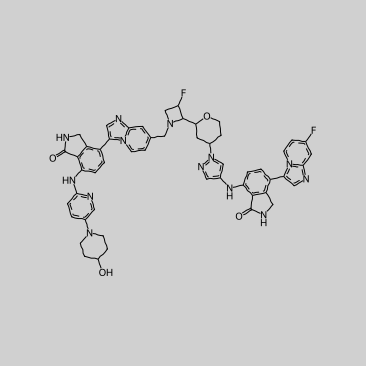 O=C1NCc2c(-c3cnc4cc(F)ccn34)ccc(Nc3cnn(C4CCOC(C5C(F)CN5Cc5ccn6c(-c7ccc(Nc8ccc(N9CCC(O)CC9)cn8)c8c7CNC8=O)cnc6c5)C4)c3)c21